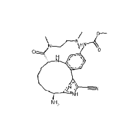 COC(=O)Nc1ccc2c(c1)N[C@@H](C(=O)N(C)CCN(C)C)CCCC[C@H](N)c1nc-2c(C#N)[nH]1